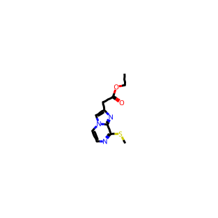 CCOC(=O)Cc1cn2ccnc(SC)c2n1